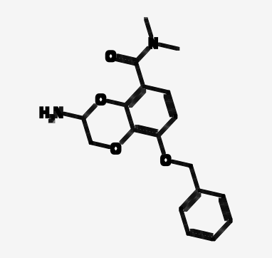 CN(C)C(=O)c1ccc(OCc2ccccc2)c2c1OC(N)CO2